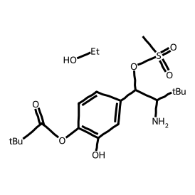 CC(C)(C)C(=O)Oc1ccc(C(OS(C)(=O)=O)C(N)C(C)(C)C)cc1O.CCO